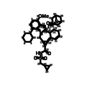 COc1ccc(C2CCCCC2)c2c1cc1n2CC2=C(C(=O)NS(=O)(=O)CC3CC3)C2=C2C=CC[C@@H](C(=O)N3C4CC3CN(C)C4)C21